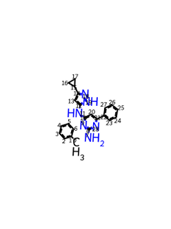 Cc1ccccc1.Nc1nc(Nc2cc(C3CC3)n[nH]2)cc(-c2ccccc2)n1